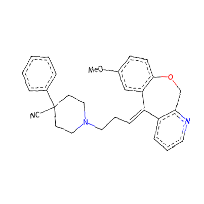 COc1ccc2c(c1)C(=CCCN1CCC(C#N)(c3ccccc3)CC1)c1cccnc1CO2